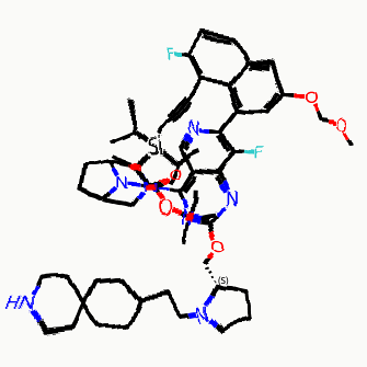 COCOc1cc(-c2ncc3c(N4CC5CCC(C4)N5C(=O)OC(C)(C)C)nc(OC[C@@H]4CCCN4CCC4CCC5(CCNCC5)CC4)nc3c2F)c2c(C#C[Si](C(C)C)(C(C)C)C(C)C)c(F)ccc2c1